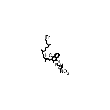 C/C(=C\Cc1c(C)c(/N=N/c2ncc([N+](=O)[O-])s2)c2ccccc2c1O)CCCC(C)CCCC(C)CCCC(C)C